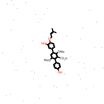 COc1cc(-c2ccc(OCC=C(C)C)c(O)c2)c(OC)c(C(=O)O)c1-c1ccc(O)cc1